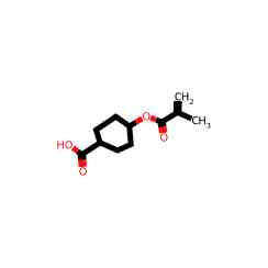 C=C(C)C(=O)OC1CCC(C(=O)O)CC1